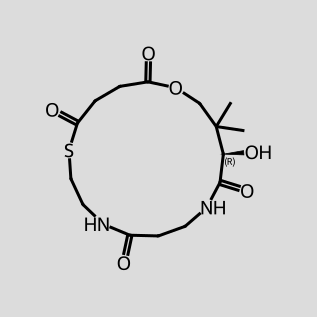 CC1(C)COC(=O)CCC(=O)SCCNC(=O)CCNC(=O)[C@@H]1O